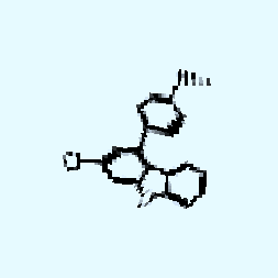 CC(C)(C)c1ccc(-c2cc(Cl)cc3oc4ccccc4c23)cc1